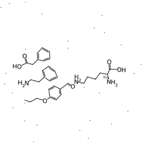 CCCOc1ccc(C=O)cc1.NCCCC[C@H](N)C(=O)O.NCCc1ccccc1.O=C(O)Cc1ccccc1